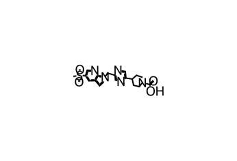 CS(=O)(=O)c1cnc2c(ccn2Cc2cnc(C3CCN(C(=O)O)CC3)cn2)c1